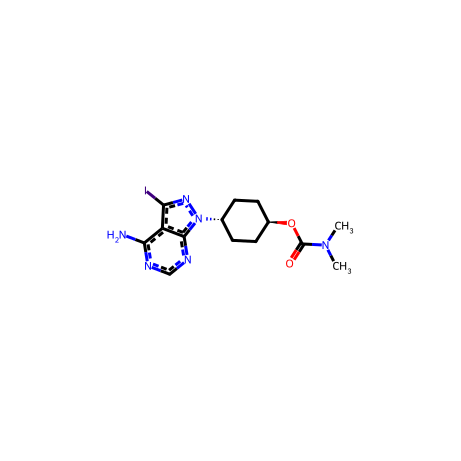 CN(C)C(=O)O[C@H]1CC[C@H](n2nc(I)c3c(N)ncnc32)CC1